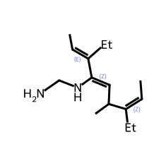 C/C=C(/CC)C(C)/C=C(NCN)/C(=C/C)CC